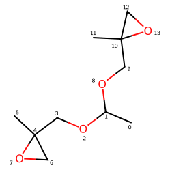 CC(OCC1(C)CO1)OCC1(C)CO1